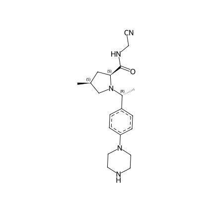 C[C@H]1C[C@@H](C(=O)NCC#N)N([C@H](C)c2ccc(N3CCNCC3)cc2)C1